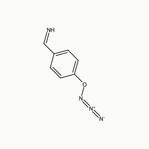 [N-]=[N+]=NOc1ccc(C=N)cc1